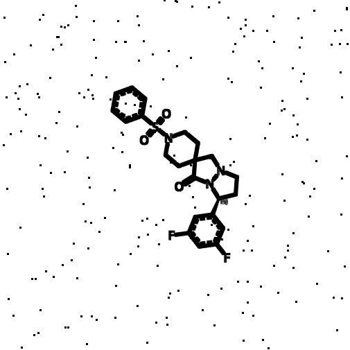 O=C1N2[C@H](c3cc(F)cc(F)c3)CCN2CC12CCN(S(=O)(=O)c1ccccc1)CC2